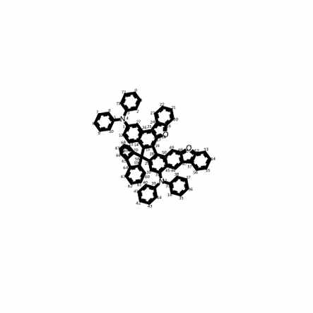 c1ccc(N(c2ccccc2)c2ccc3c4c(c5oc6ccccc6c5c3c2)-c2c(cc(N(c3ccccc3)c3ccccc3)c3cc5c(cc23)oc2ccccc25)C42c3ccccc3-c3ccccc32)cc1